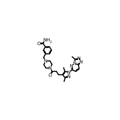 Cc1nn(-c2ccc3nnc(C)n3n2)c(C)c1CCC(=O)N1CCN(Cc2cccc(C(N)=O)c2)CC1